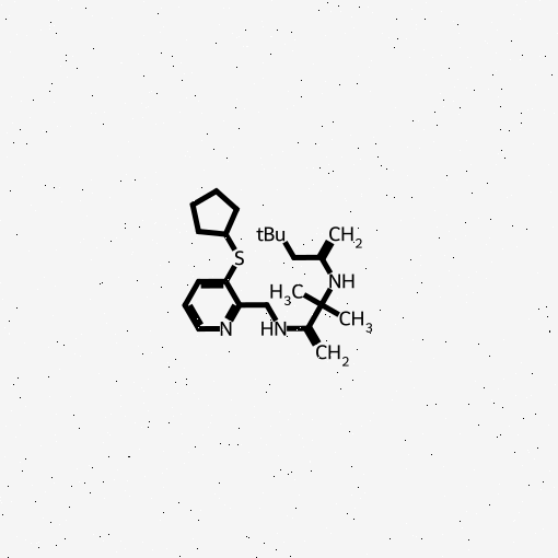 C=C(CC(C)(C)C)NC(C)(C)C(=C)NCc1ncccc1SC1CCCC1